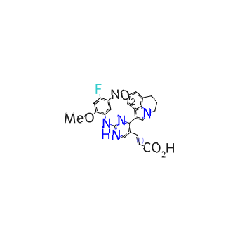 COc1cc(F)c([N+](=O)[O-])cc1Nc1ncc(/C=C/C(=O)O)c(-c2cn3c4c(cccc24)CCC3)n1